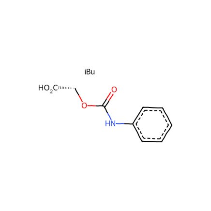 CC[C@H](C)[C@H](OC(=O)Nc1ccccc1)C(=O)O